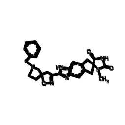 CN1C(=O)NC(=O)C12Cc1cc3nc(C4=NOC5(CCN(Cc6ccccc6)C5)C4)[nH]c3cc1C2